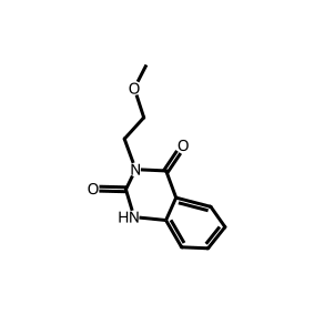 COCCn1c(=O)[nH]c2ccccc2c1=O